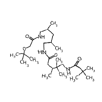 CC(CNC(=O)COC(C)(C)C)CC(C)CNC(=O)CC(C)C(C)(C)CNC(=O)C(C)(C)C